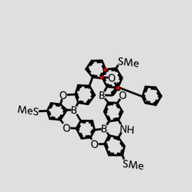 CSc1cc2c3c(c1)Oc1cc4c(cc1B3c1cc3c(cc1N2)Oc1cc(SC)cc2c1B3c1ccc(-c3ccccc3)cc1O2)B1c2ccc(-c3ccccc3)cc2Oc2cc(SC)cc(c21)O4